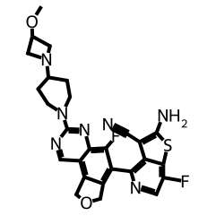 COC1CN(C2CCN(c3ncc4c5c(c(-c6ncc(F)c7sc(N)c(C#N)c67)c(F)c4n3)COC5)CC2)C1